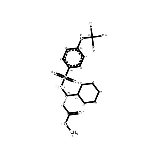 COC(=O)C[C@H](NS(=O)(=O)c1ccc(OC(F)(F)F)cc1)C1CCCCC1